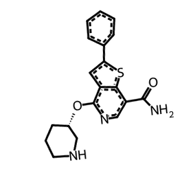 NC(=O)c1cnc(O[C@H]2CCCNC2)c2cc(-c3ccccc3)sc12